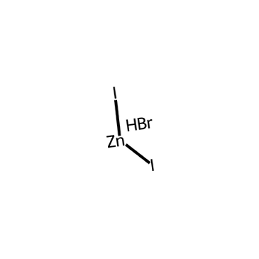 Br.[I][Zn][I]